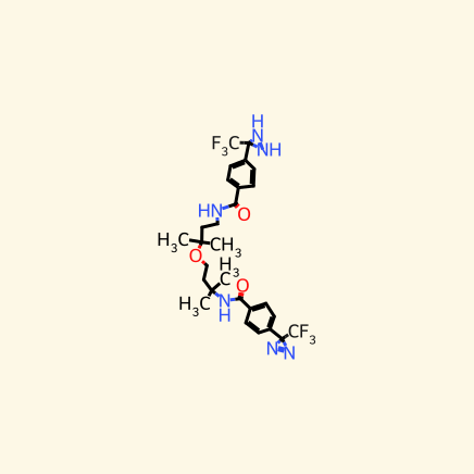 CC(C)(CCOC(C)(C)CCNC(=O)c1ccc(C2(C(F)(F)F)NN2)cc1)NC(=O)c1ccc(C2(C(F)(F)F)N=N2)cc1